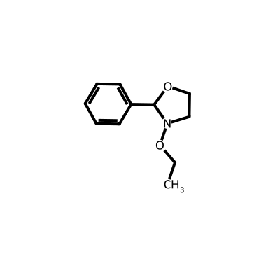 CCON1CCOC1c1ccccc1